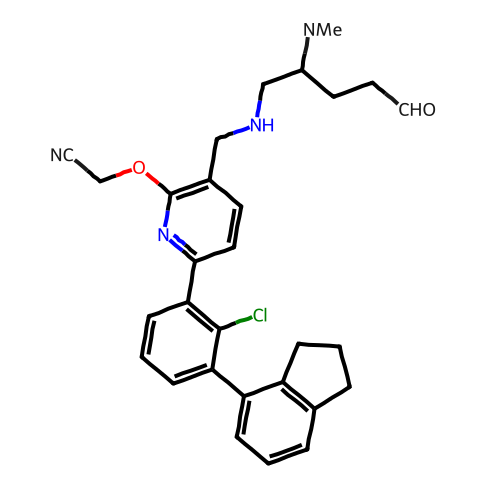 CNC(CCC=O)CNCc1ccc(-c2cccc(-c3cccc4c3CCC4)c2Cl)nc1OCC#N